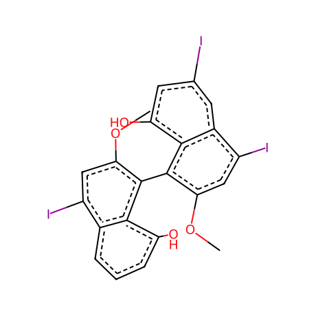 COc1cc(I)c2cccc(O)c2c1-c1c(OC)cc(I)c2cc(I)cc(O)c12